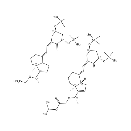 C=C1C(=CC=C2CCC[C@]3(C)C([C@H](C)OCC(=O)O)=CCC23)C[C@@H](O[Si](C)(C)C(C)(C)C)C[C@@H]1O[Si](C)(C)C(C)(C)C.C=C1C(=CC=C2CCC[C@]3(C)C([C@H](C)OCC(=O)OC(C(C)(C)C)C(C)(C)C)=CC[C@@H]23)C[C@@H](O[Si](C)(C)C(C)(C)C)C[C@@H]1O[Si](C)(C)C(C)(C)C